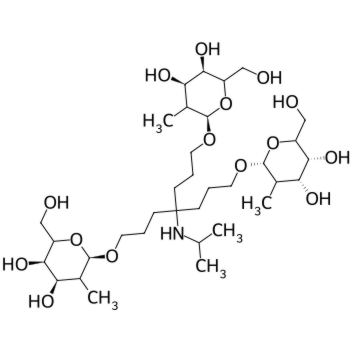 CC(C)NC(CCCO[C@@H]1OC(CO)[C@H](O)[C@H](O)C1C)(CCCO[C@@H]1OC(CO)[C@H](O)[C@H](O)C1C)CCCO[C@@H]1OC(CO)[C@H](O)[C@H](O)C1C